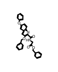 O=C(CNC(=O)c1nc2ccc(Oc3ccccc3)cc2cc1OCc1ccccc1)OCc1ccccc1